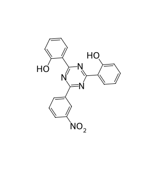 O=[N+]([O-])c1cccc(-c2nc(-c3ccccc3O)nc(-c3ccccc3O)n2)c1